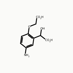 Nc1ccc(OCC(=O)O)c(C(O)C(=O)O)c1